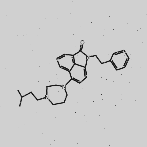 CC(C)CCN1CCCN(c2ccc3c4c(cccc24)C(=O)N3CCc2ccccc2)CC1